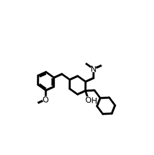 COc1cccc(CC2CCC(O)(CC3CCCCC3)C(CN(C)C)C2)c1